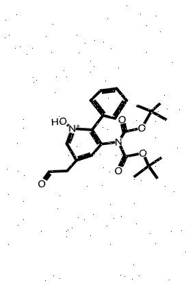 CC(C)(C)OC(=O)N(C(=O)OC(C)(C)C)c1cc(CC=O)c[n+](O)c1-c1ccccc1